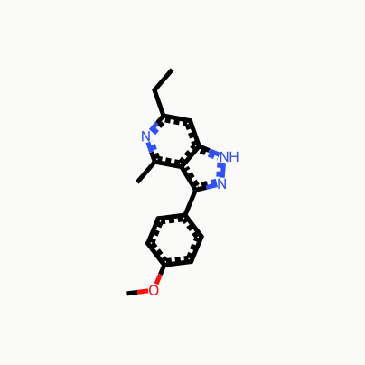 CCc1cc2[nH]nc(-c3ccc(OC)cc3)c2c(C)n1